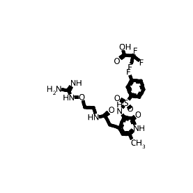 Cc1cc(CC(=O)NCCONC(=N)N)c(NS(=O)(=O)c2cccc(F)c2)c(=O)[nH]1.O=C(O)C(F)(F)F